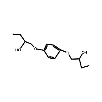 CCC(O)COc1ccc(OCC(O)CC)cc1